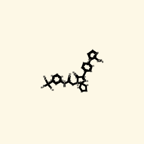 Cc1nccn1-c1ccc(C2=NC3(CCCC3)N(CC(=O)Nc3cccc(C(F)(F)F)c3)C2=O)cc1